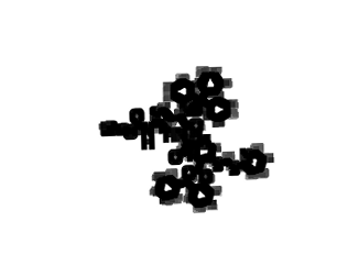 CC(C)(C)OC(=O)Nc1nc(/C(=N/OC(c2ccccc2)(c2ccccc2)c2ccccc2)C(=O)N[C@@H]2C(=O)N3C(C(=O)OC(c4ccccc4)c4ccccc4)=C(SCSc4ccccn4)CS[C@@H]23)cs1